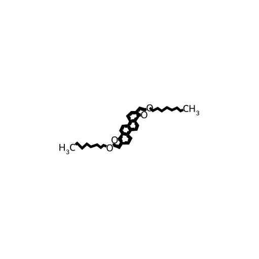 CCCCCCCCOc1cc2ccc3c4ccc5c(ccc6cc(OCCCCCCCC)oc65)c4ccc3c2o1